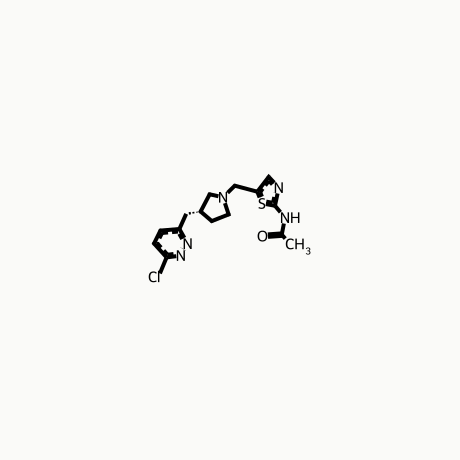 CC(=O)Nc1ncc(CN2CC[C@H](Cc3ccc(Cl)nn3)C2)s1